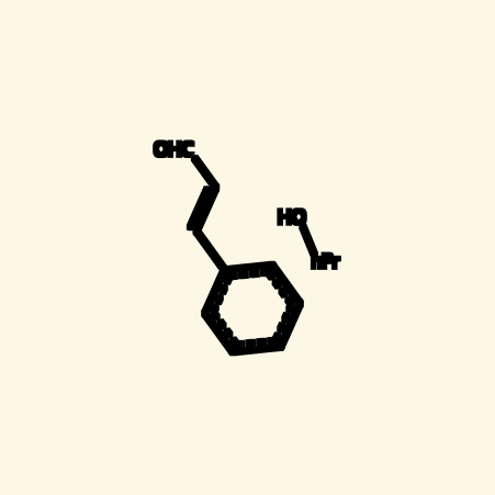 CCCO.O=CC=Cc1ccccc1